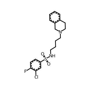 O=S(=O)(NCCCCN1CCc2ccccc2C1)c1ccc(F)c(Cl)c1